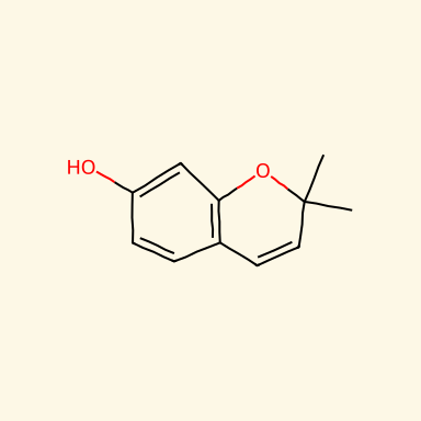 CC1(C)C=Cc2ccc(O)cc2O1